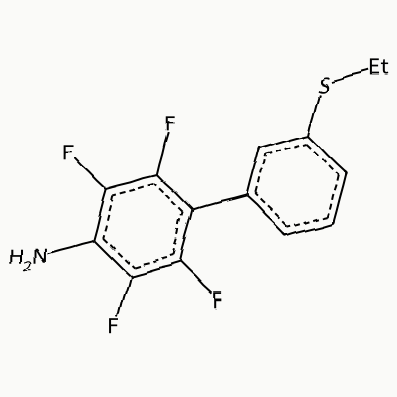 CCSc1cccc(-c2c(F)c(F)c(N)c(F)c2F)c1